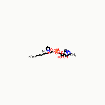 C#C[C@@]1(c2ccc3c(C)ncnn23)O[C@H](COP(=O)(O)OC[C@@H](COCCCCCCCCCCCCCCCCCC)Oc2cccc(C#N)n2)[C@@H](O)[C@H]1O